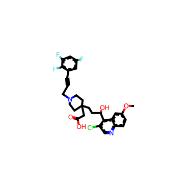 COc1ccc2ncc(Cl)c(C(O)CCC3(CC(=O)O)CCN(CC#Cc4cc(F)cc(F)c4F)CC3)c2c1